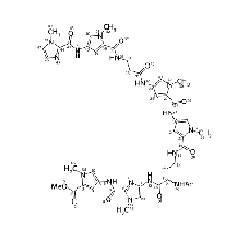 COC(=O)c1cc(NC(=O)c2nc(NC(=O)[C@@H](CCNC(=O)c3cc(NC(=O)c4nc(NC(=O)CCNC(=O)c5cc(NC(=O)c6nccn6C)cn5C)cn4C)cn3C)NC(C)=O)cn2C)cn1C